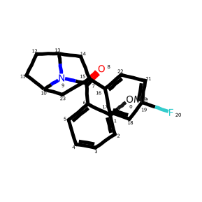 COc1ccccc1C(=O)N1C2CCC1CC(c1ccc(F)cc1)C2